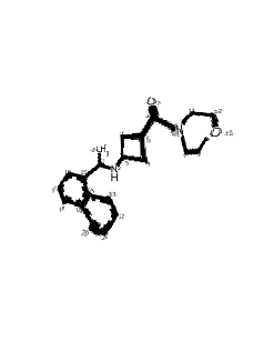 CC(NC1CC(C(=O)N2CCOCC2)C1)c1cccc2ccccc12